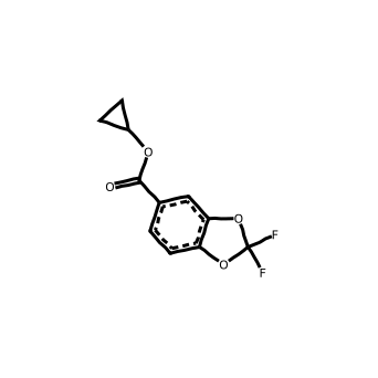 O=C(OC1CC1)c1ccc2c(c1)OC(F)(F)O2